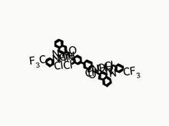 O=C(Nc1ccc(-c2ccc(NC(=O)c3cc4ccccc4c(/N=N/c4cc(C(F)(F)F)ccc4Cl)c3O)c(Cl)c2)cc1Cl)c1cc2ccccc2c(/N=N/c2cc(C(F)(F)F)ccc2Cl)c1O